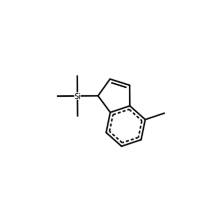 Cc1cccc2c1C=CC2[Si](C)(C)C